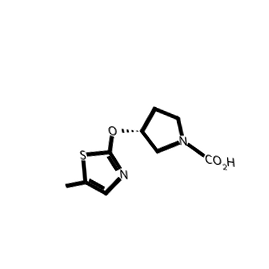 Cc1cnc(O[C@@H]2CCN(C(=O)O)C2)s1